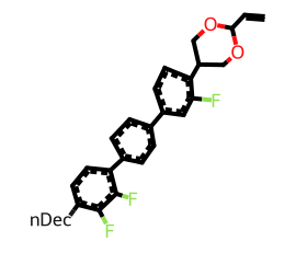 C=CC1OCC(c2ccc(-c3ccc(-c4ccc(CCCCCCCCCC)c(F)c4F)cc3)cc2F)CO1